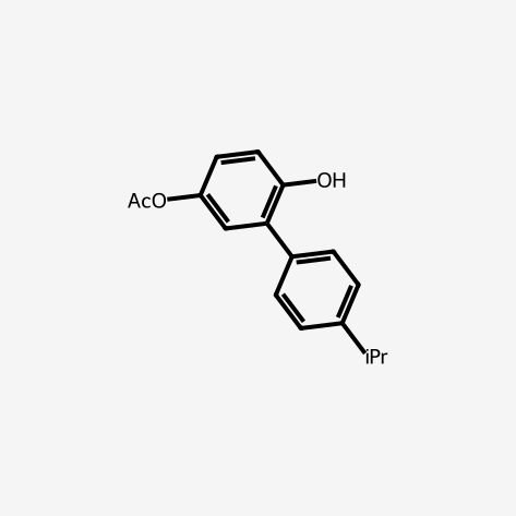 CC(=O)Oc1ccc(O)c(-c2ccc(C(C)C)cc2)c1